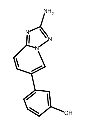 Nc1nc2ccc(-c3cccc(O)c3)cn2n1